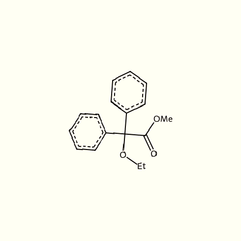 CCOC(C(=O)OC)(c1ccccc1)c1ccccc1